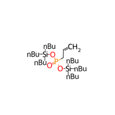 C=CCP(=O)(O[Si](CCCC)(CCCC)CCCC)O[Si](CCCC)(CCCC)CCCC